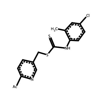 CC(=O)c1ccc(CSC(=S)Nc2ccc(Cl)cc2C)cn1